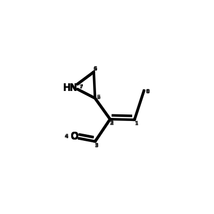 C/C=C(/C=O)C1CN1